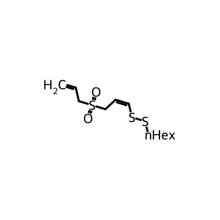 C=CCS(=O)(=O)C/C=C\SSCCCCCC